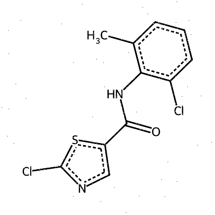 Cc1cccc(Cl)c1NC(=O)c1cnc(Cl)s1